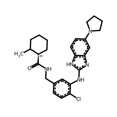 CC1CCCC[C@H]1C(=O)NCc1ccc(Cl)c(Nc2nc3cc(N4CCCC4)ccc3[nH]2)c1